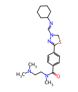 CN(C)CCN(C)C(=O)c1ccc(C2=NN(C=NC3CCCCC3)CS2)cc1